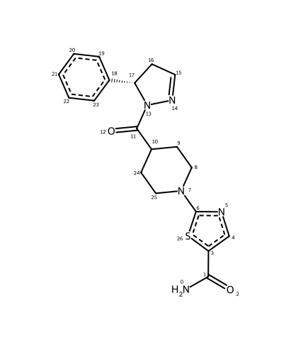 NC(=O)c1cnc(N2CCC(C(=O)N3N=CC[C@H]3c3ccccc3)CC2)s1